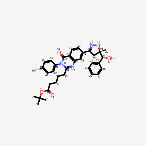 CC(C)(C)OC(=O)CCCCc1nc2cc(C3=NO[C@](C)([C@@H](O)c4ccccc4)C3)ccc2c(=O)n1-c1ccc(F)cc1